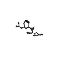 O=C(Nc1cccc(OC(F)F)n1)[C@@H]1C[C@@H](F)CN1